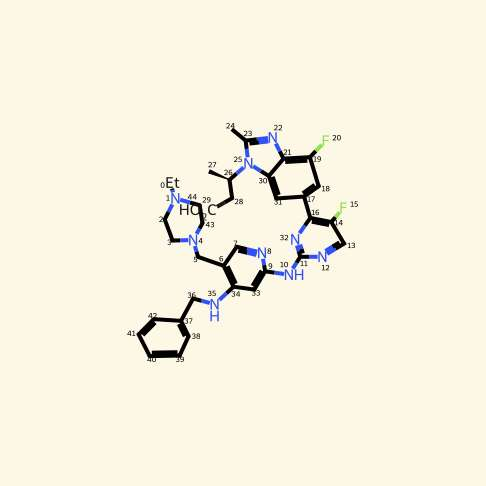 CCN1CCN(Cc2cnc(Nc3ncc(F)c(-c4cc(F)c5nc(C)n([C@H](C)CC(=O)O)c5c4)n3)cc2NCc2ccccc2)CC1